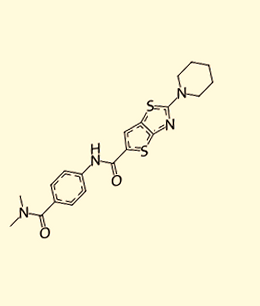 CN(C)C(=O)c1ccc(NC(=O)c2cc3sc(N4CCCCC4)nc3s2)cc1